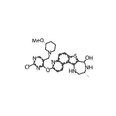 CO[C@@H]1CCCN(Cc2cnc(Cl)nc2Oc2ccc3c(ccc4sc5c(c43)NC[C@@H](C)NC5O)n2)C1